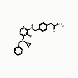 NC(=O)Cc1ccc(CNc2ncnc(N(Cc3ccccc3)C3CC3)c2F)cc1